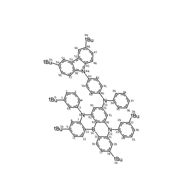 CC(C)(C)c1cccc(N2c3cc(C(C)(C)C)ccc3B3c4ccc(C(C)(C)C)cc4N(c4cccc(C(C)(C)C)c4)c4cc(N(c5ccccc5)c5ccc(-n6c7ccc(C(C)(C)C)cc7c7cc(C(C)(C)C)ccc76)cc5)cc2c43)c1